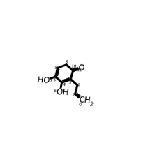 C=CCC1=C(O)C(O)=CCC1=O